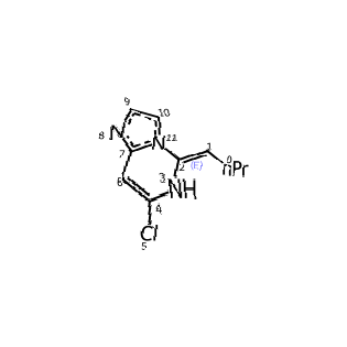 CCC/C=C1\NC(Cl)=Cc2nccn21